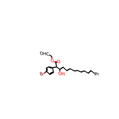 CC(C)CCCCCCCCCC(O)C(C(=O)OCC=O)c1ccc(Br)cc1